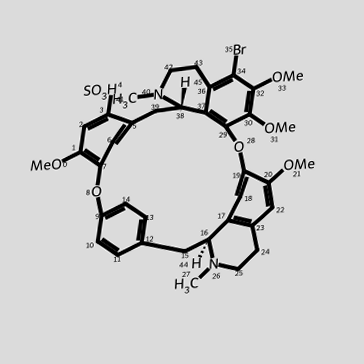 COc1cc(S(=O)(=O)O)c2cc1Oc1ccc(cc1)C[C@H]1c3cc(c(OC)cc3CCN1C)Oc1c(OC)c(OC)c(Br)c3c1[C@H](C2)N(C)CC3